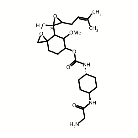 COC1C(OC(=O)N[C@H]2CC[C@H](NC(=O)CN)CC2)CCC2(CO2)C1[C@]1(C)OC1CC=C(C)C